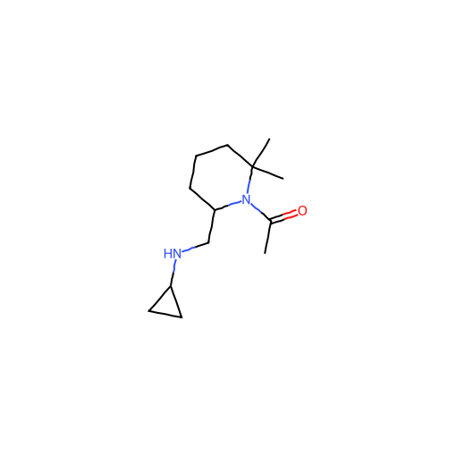 CC(=O)N1C(CNC2CC2)CCCC1(C)C